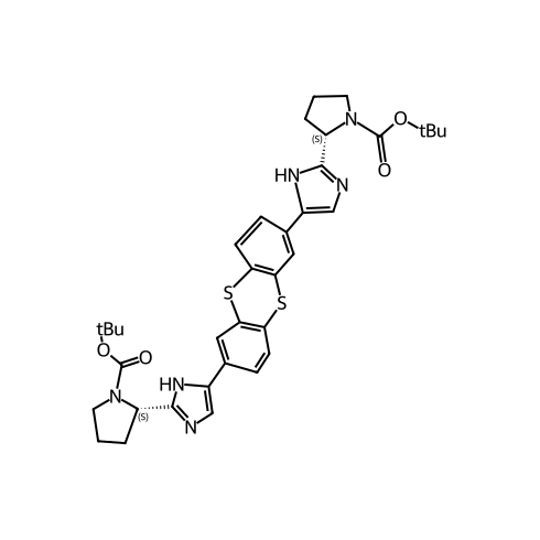 CC(C)(C)OC(=O)N1CCC[C@H]1c1ncc(-c2ccc3c(c2)Sc2ccc(-c4cnc([C@@H]5CCCN5C(=O)OC(C)(C)C)[nH]4)cc2S3)[nH]1